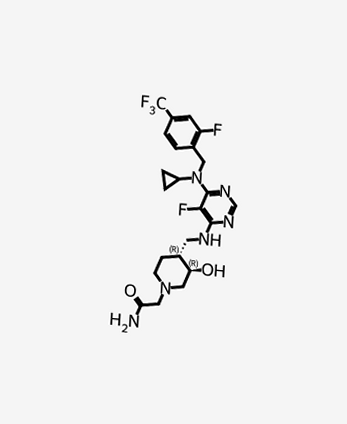 NC(=O)CN1CC[C@H](CNc2ncnc(N(Cc3ccc(C(F)(F)F)cc3F)C3CC3)c2F)[C@@H](O)C1